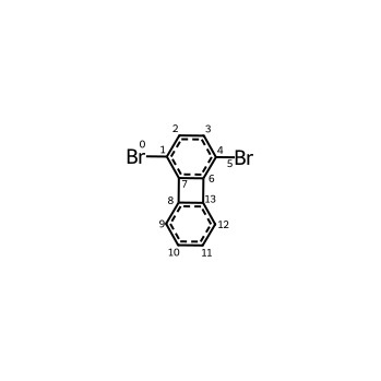 Brc1ccc(Br)c2c1-c1ccccc1-2